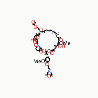 CO[C@@H]1C[C@H](C[C@@H](C)[C@@H]2CC(=O)[C@H](C)/C=C(\C)[C@@H](O)[C@@H](OC)C(=O)[C@H](C)C[C@H](C)/C=C/C=C/C=C(\C)[C@H](OCCOC3COC3)C[C@@H]3CC[C@@H](C)[C@@](O)(O3)C(=O)C(=O)N3CCCC[C@H]3C(=O)O2)CC[C@H]1OCCCN1C[C@@H](C)O[C@@H](C)C1